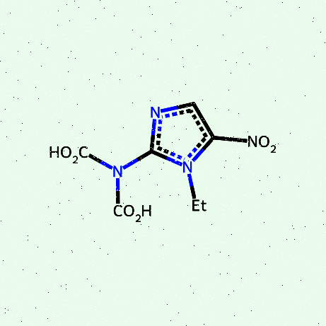 CCn1c([N+](=O)[O-])cnc1N(C(=O)O)C(=O)O